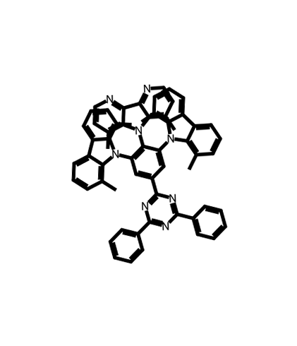 Cc1cccc2c3cccc(C)c3n(-c3cc(-c4nc(-c5ccccc5)nc(-c5ccccc5)n4)cc(-n4c5c(C)cccc5c5cccc(C)c54)c3-n3c4c(C)ccnc4c4nccc(C)c43)c12